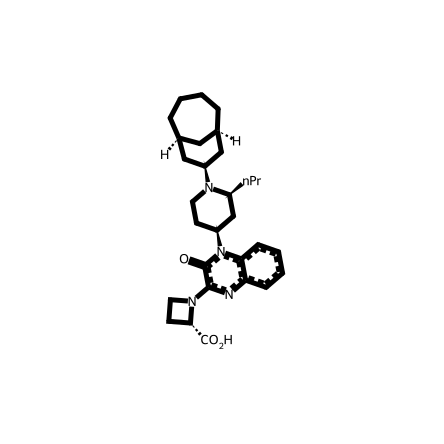 CCC[C@H]1C[C@@H](n2c(=O)c(N3CC[C@H]3C(=O)O)nc3ccccc32)CCN1[C@@H]1C[C@@H]2CCCC[C@@H](C2)C1